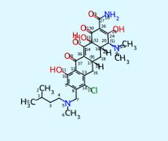 CC(C)CCN(C)Cc1cc(O)c2c(c1Cl)C[C@H]1C[C@H]3[C@H](N(C)C)C(O)=C(C(N)=O)C(=O)[C@@]3(O)C(O)=C1C2=O